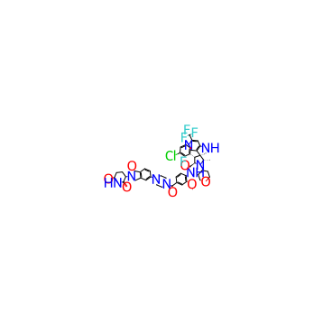 COc1cc(C(=O)N2CCN(c3ccc4c(c3)CN(C3CCC(=O)NC3=O)C4=O)CC2)ccc1NC(=O)[C@H]1[C@H](c2cccc(Cl)c2F)[C@]2(CNc3cc(C(F)(F)F)ncc32)[C@H](C)N1C1CCOCC1